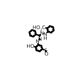 O=[S]c1ccc(O)c(/N=N/C(=N\Nc2ccccc2C(=O)O)c2ccccc2)c1